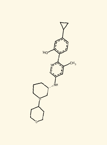 Cc1cc(N[C@H]2CCCN(C3CCOCC3)C2)nnc1-c1ccc(C2CC2)cc1O